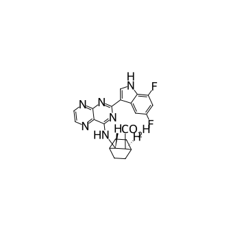 O=C(O)[C@H]1C2CCC(CC2)[C@@H]1Nc1nc(-c2c[nH]c3c(F)cc(F)cc23)nc2nccnc12